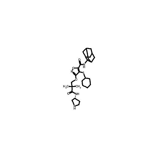 CC(C)(COc1noc(C(=O)NC2C3CC4CC(C3)CC2C4)c1SC1CCCCC1)C(=O)N[C@@H]1CCNC1